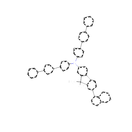 CC1(C)c2cc(-c3cccc4ccccc34)ccc2-c2ccc(N(c3ccc(-c4ccc(-c5ccccc5)cc4)cc3)c3ccc(-c4ccc(-c5ccccc5)cc4)cc3)cc21